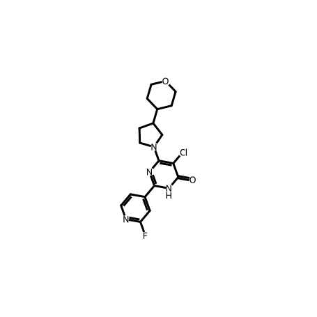 O=c1[nH]c(-c2ccnc(F)c2)nc(N2CCC(C3CCOCC3)C2)c1Cl